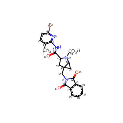 Cc1ccc(Br)nc1NC(=O)C1CC2(CN3C(=O)c4ccccc4C3=O)CC2N1C(=O)O